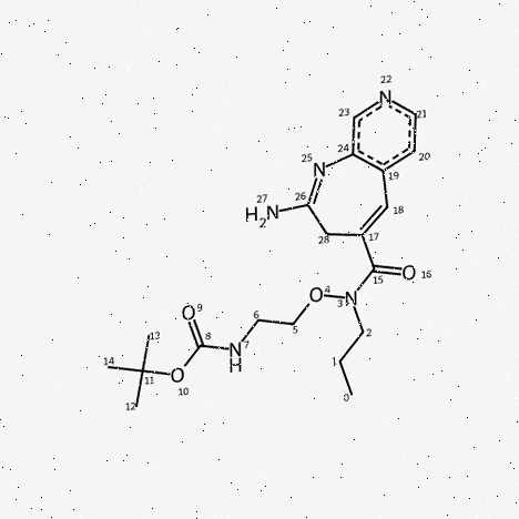 CCCN(OCCNC(=O)OC(C)(C)C)C(=O)C1=Cc2ccncc2N=C(N)C1